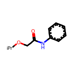 CC(C)OCC(=O)Nc1ccccc1